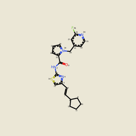 O=C(Nc1nc(/C=C/C2CCCC2)cs1)c1cccn1Cc1ccnc(F)c1